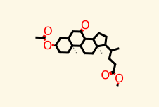 COC(=O)CCC(C)C1CCC2C3C(=O)CC4C[C@H](OC(C)=O)CC[C@]4(C)C3CC[C@]12C